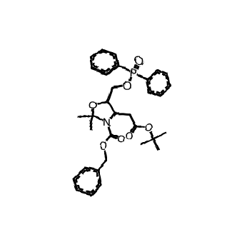 CC(C)(C)OC(=O)CC1C(COP(=O)(c2ccccc2)c2ccccc2)OC(C)(C)N1C(=O)OCc1ccccc1